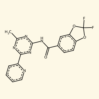 Cc1nc(NC(=O)c2ccc3c(c2)OC(F)(F)O3)nc(-c2ccccn2)n1